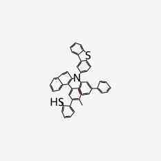 Cc1ccc(-c2c(N(c3cccc(-c4ccccc4)c3)c3ccc4sc5ccccc5c4c3)ccc3ccccc23)cc1-c1ccccc1S